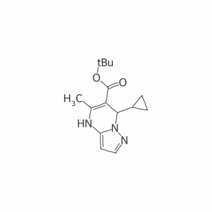 CC1=C(C(=O)OC(C)(C)C)C(C2CC2)n2nccc2N1